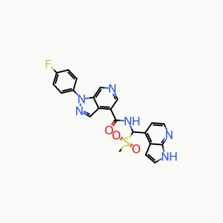 CS(=O)(=O)C(NC(=O)c1cncc2c1cnn2-c1ccc(F)cc1)c1ccnc2[nH]ccc12